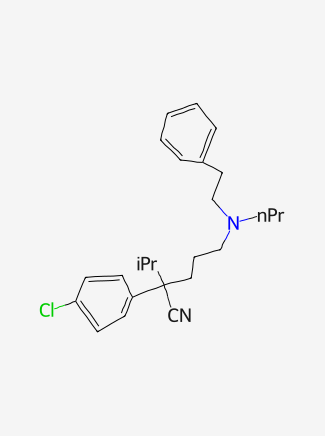 CCCN(CCCC(C#N)(c1ccc(Cl)cc1)C(C)C)CCc1ccccc1